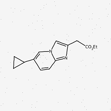 CCOC(=O)Cc1cn2cc(C3CC3)ccc2n1